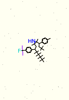 Cc1ccc(C(CC(C)(C)C)C2(C)NC2(C)CC(c2ccc(C(F)(I)I)cc2)C(C)(C)C(C)(C)C(C)(C)C(C)(C)C)cc1